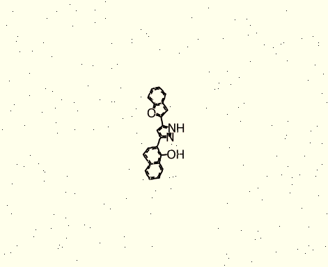 Oc1c(-c2cc(-c3cc4ccccc4o3)[nH]n2)ccc2ccccc12